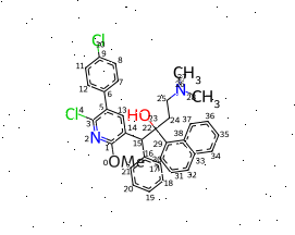 COc1nc(Cl)c(-c2ccc(Cl)cc2)cc1C(c1ccccc1)C(O)(CCN(C)C)c1cccc2ccccc12